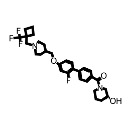 O=C(c1ccc(-c2ccc(OCC3CCN(CC4(C(F)(F)F)CCC4)CC3)cc2F)cc1)N1CCC[C@@H](O)C1